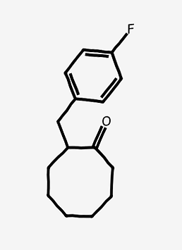 O=C1CCCCCCC1Cc1ccc(F)cc1